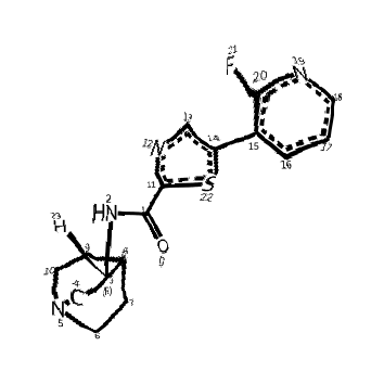 O=C(N[C@H]1CN2CCC1CC2)c1ncc(-c2cccnc2F)s1